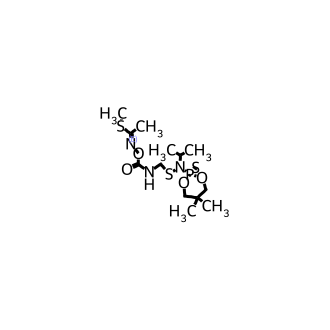 CS/C(C)=N/OC(=O)NCSN(C(C)C)P1(=S)OCC(C)(C)CO1